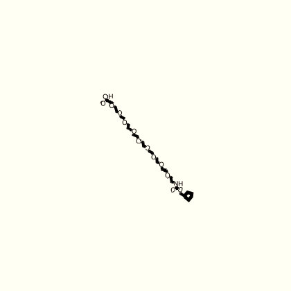 O=C(O)COCCOCCOCCOCCOCCOCCOCCOCCOCCNC(=O)OCc1ccccc1